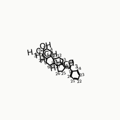 C[C@@]1(O)CC[C@@]2(C)[C@@H](CC[C@@H]3[C@@H]2CC[C@]2(C)[C@@H](C(=O)c4ccccc4)CC[C@@H]32)C1